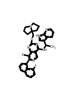 CC(Nc1nc(OCC23CCCN2CCC3)nc2c(F)c(-c3cccc4cccc(F)c34)ncc12)c1c[nH]c2ncccc12